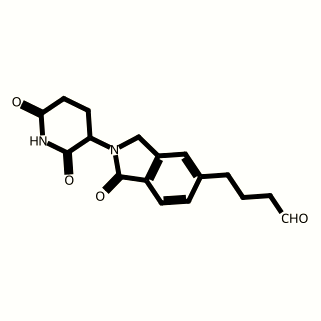 O=CCCCc1ccc2c(c1)CN(C1CCC(=O)NC1=O)C2=O